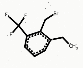 CCc1cccc(C(F)(F)F)c1CBr